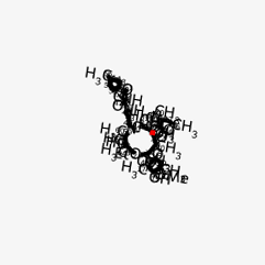 CC[C@H]1OC(=O)[C@H](C)[C@@H](O[C@H]2C[C@@](C)(OC)[C@@H](O)[C@H](C)O2)[C@H](C)[C@@H](O[C@@H]2O[C@H](C)C[C@H](N(C)C)[C@H]2O)[C@](C)(O)C[C@@H](C)CN(CCCNC(=O)NS(=O)(=O)c2ccc(C)cc2)[C@H](C)[C@@H](O)[C@]1(C)O